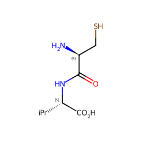 CC(C)[C@H](NC(=O)[C@@H](N)CS)C(=O)O